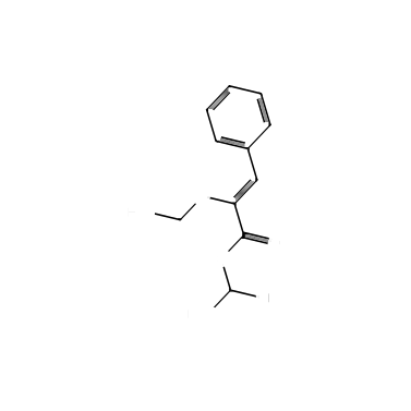 CCOC(=Cc1ccccc1)C(=O)OC(C)C